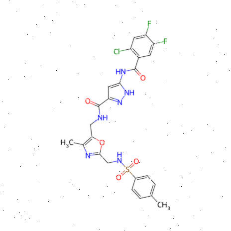 Cc1ccc(S(=O)(=O)NCc2nc(C)c(CNC(=O)c3cc(NC(=O)c4cc(F)c(F)cc4Cl)[nH]n3)o2)cc1